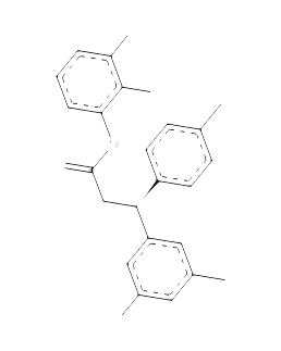 CCc1c(F)cccc1NC(=O)[C@@H](C)[C@@H](c1ccc(C)cc1)c1cc(C)cc(F)c1